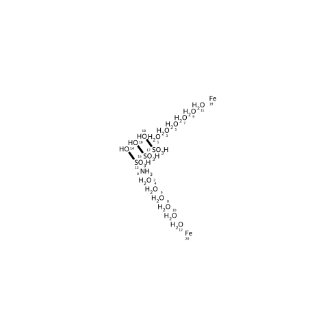 N.O.O.O.O.O.O.O.O.O.O.O.O.O=S(=O)(O)O.O=S(=O)(O)O.O=S(=O)(O)O.[Fe].[Fe]